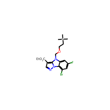 CCOC(=O)c1cnn2c3c(Br)cc(F)cc3n(COCC[Si](C)(C)C)c12